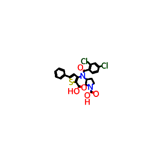 O=C(O)c1sc(-c2ccccc2)cc1N(C(=O)c1ccc(Cl)cc1Cl)C1CCN(C(=O)O)C1